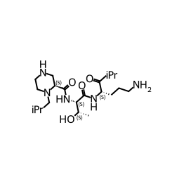 CC(C)CN1CCNC[C@H]1C(=O)N[C@H](C(=O)N[C@@H](CCCN)C(=O)C(C)C)[C@H](C)O